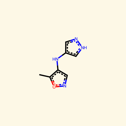 Cc1oncc1Nc1cn[nH]c1